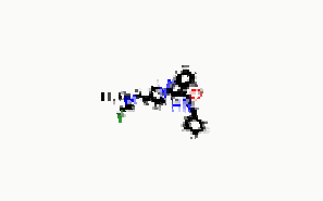 CN(CCF)CCC1CCN(c2cc(C(=O)NCC3CCCCC3)c3ccccc3n2)CC1